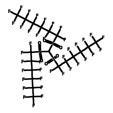 O=S(=O)(C(S(=O)(=O)C(F)(F)C(F)(F)C(F)(F)C(F)(F)C(F)(F)C(F)(F)F)S(=O)(=O)C(F)(F)C(F)(F)C(F)(F)C(F)(F)C(F)(F)C(F)(F)F)C(F)(F)C(F)(F)C(F)(F)C(F)(F)C(F)(F)C(F)(F)F